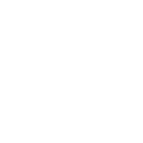 N#Cc1c(N)nc(SC2CCOCC2)c(C#N)c1-c1ccc(OC2COC2)cc1